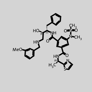 COc1cccc(CNC[C@@H](O)[C@H](Cc2ccccc2)NC(=O)c2cc(C(=O)N[C@H](C)c3nccs3)cc(N(C)S(C)(=O)=O)c2)c1